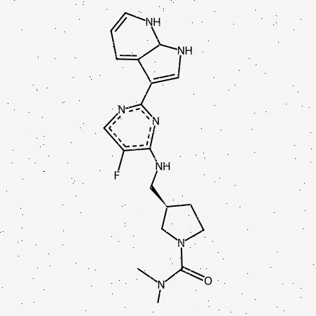 CN(C)C(=O)N1CC[C@H](CNc2nc(C3=CNC4NC=CC=C34)ncc2F)C1